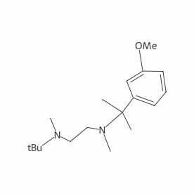 COc1cccc(C(C)(C)N(C)CCN(C)C(C)(C)C)c1